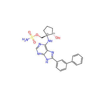 NS(=O)(=O)OC[C@@]1(Nc2ncnc3[nH]c(-c4cccc(-c5ccccc5)c4)nc23)CCC[C@@H]1O